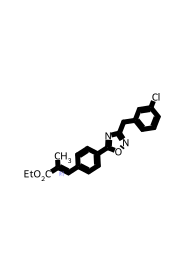 CCOC(=O)/C(C)=C/c1ccc(-c2nc(Cc3cccc(Cl)c3)no2)cc1